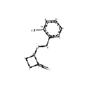 O=C1CCC1OCc1ccccc1F